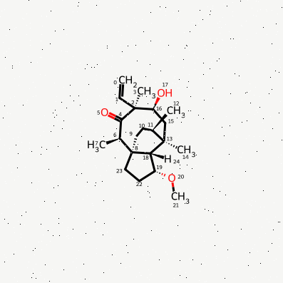 C=C[C@]1(C)C(=O)[C@H](C)[C@@]23CC[C@@H](C)[C@@](C)(C[C@@H]1O)[C@@H]2[C@H](OC)CC3